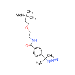 CNC(C)(C)CCOCCNC(=O)c1ccc(C(C)(C)N=[N+]=[N-])cc1